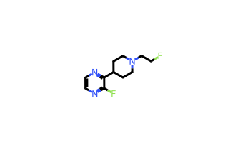 FCCN1CCC(c2nccnc2F)CC1